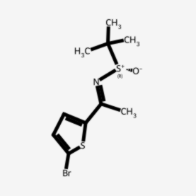 CC(=N[S@@+]([O-])C(C)(C)C)c1ccc(Br)s1